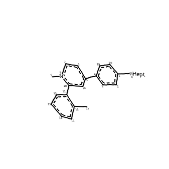 CCCCCCCc1ccc(-c2cc[n+](C)c(-c3ccccc3C)c2)cc1